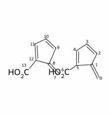 C=C1C=CC=C1C(=O)O.C=C1C=CC=C1C(=O)O